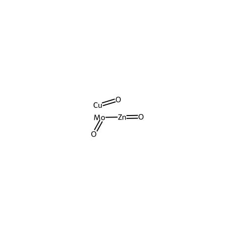 [O]=[Cu].[O]=[Zn][Mo]=[O]